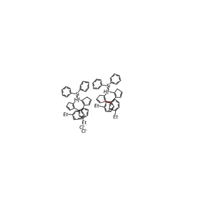 CCc1cccc(C2=[C]([Hf]([C]3=C(c4cccc(CC)c4)C=CC3)=[Si](c3ccccc3)c3ccccc3)CC=C2)c1.CCc1cccc(C2=[C]([Hf]([C]3=C(c4cccc(CC)c4)C=CC3)=[Si](c3ccccc3)c3ccccc3)CC=C2)c1.[Cl-].[Cl-]